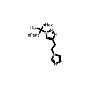 CCCCCCC(C)(CCCCC)n1cc(CCn2ccnc2)nn1